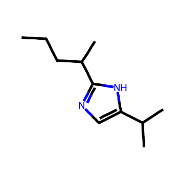 CCCC(C)c1ncc(C(C)C)[nH]1